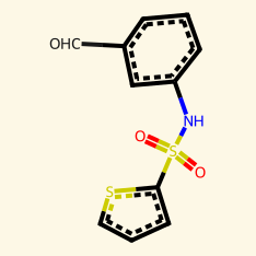 O=Cc1cccc(NS(=O)(=O)c2cccs2)c1